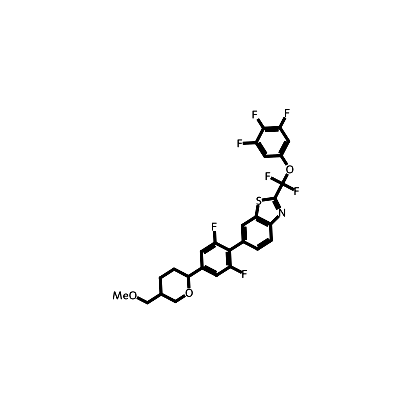 COCC1CCC(c2cc(F)c(-c3ccc4nc(C(F)(F)Oc5cc(F)c(F)c(F)c5)sc4c3)c(F)c2)OC1